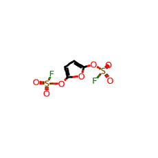 O=S(=O)(F)Oc1ccc(OS(=O)(=O)F)o1